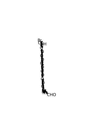 O=CCCc1cn(CCOCCOCCOCCOCCOCCOCCOCCOCCOCCOCCOCCNC(=O)CBr)nn1